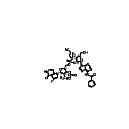 C[C@@H]1[C@H](O[PH](=O)O)[C@@H](COP(=S)(OCCC#N)O[C@@H]2[C@H](C)[C@@H](CO)O[C@H]2n2cnc3c(NC(=O)c4ccccc4)ncnc32)O[C@H]1n1cc(F)c2c(=O)[nH]cnc21